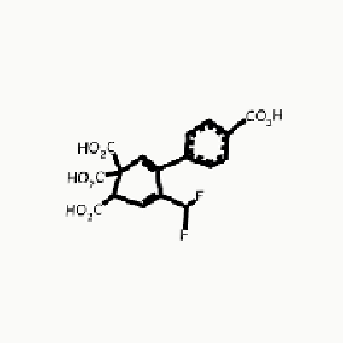 O=C(O)c1ccc(C2=CC(C(=O)O)(C(=O)O)C(C(=O)O)C=C2C(F)F)cc1